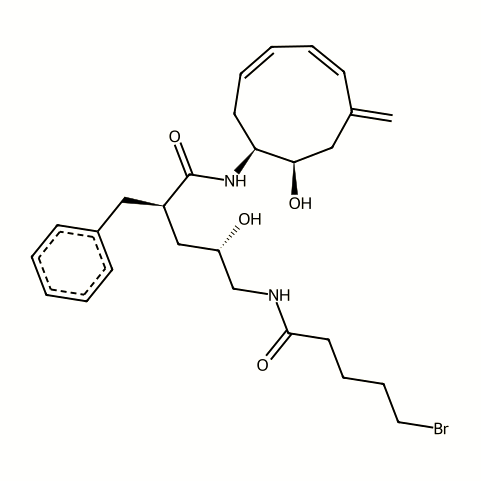 C=C1/C=C\C=C/C[C@H](NC(=O)[C@H](Cc2ccccc2)C[C@H](O)CNC(=O)CCCCBr)[C@H](O)C1